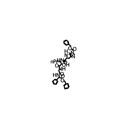 CCCC(NC(=O)[C@@H](N)Cc1cn(C(=O)OCc2ccccc2)cn1)C(O)C(=O)NCC(=O)N[C@H](C(=O)OCc1ccccc1)c1ccccc1